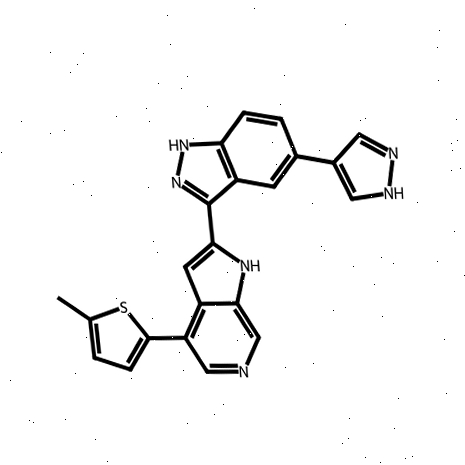 Cc1ccc(-c2cncc3[nH]c(-c4n[nH]c5ccc(-c6cn[nH]c6)cc45)cc23)s1